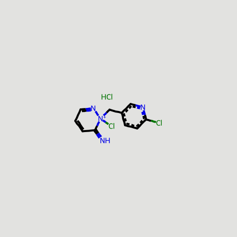 Cl.N=C1C=CC=N[N+]1(Cl)Cc1ccc(Cl)nc1